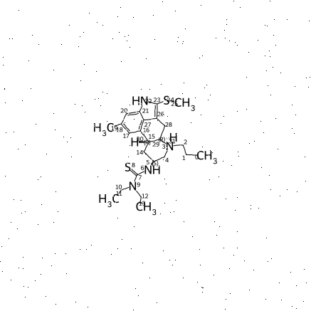 CCCN1C[C@@H](NC(=S)N(CC)CC)C[C@@H]2c3cc(C)cc4[nH]c(SC)c(c34)C[C@H]21